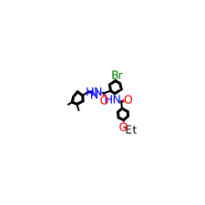 CCOc1ccc(C(=O)Nc2ccc(Br)cc2C(=O)NN=Cc2ccc(C)c(C)c2)cc1